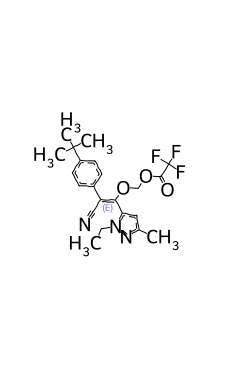 CCn1nc(C)cc1/C(OCOC(=O)C(F)(F)F)=C(\C#N)c1ccc(C(C)(C)C)cc1